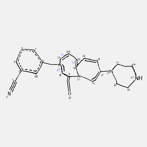 N#Cc1cccc(C2=C\C(=O)N3C=C(N4CCNCC4)C=C\C3=C/C=C/2)c1